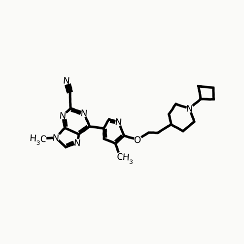 Cc1cc(-c2nc(C#N)nc3c2ncn3C)cnc1OCCC1CCN(C2CCC2)CC1